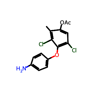 CC(=O)Oc1cc(Cl)c(Oc2ccc(N)cc2)c(Cl)c1C